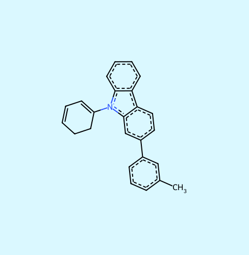 Cc1cccc(-c2ccc3c4ccccc4n(C4=CC=CCC4)c3c2)c1